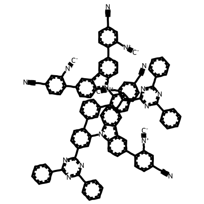 [C-]#[N+]c1cc(C#N)ccc1-c1ccc2c(c1)c1cc(-c3ccc(C#N)cc3[N+]#[C-])ccc1n2-c1cc(-c2nc(-c3ccccc3)nc(-c3ccccc3)n2)ccc1-c1cccc(-c2ccc(-c3nc(-c4ccccc4)nc(-c4ccccc4)n3)cc2-n2c3ccc(-c4ccc(C#N)cc4[N+]#[C-])cc3c3cc(-c4ccc(C#N)cc4[N+]#[C-])ccc32)c1